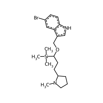 CN1CCCC1CCC(OCc1c[nH]c2ccc(Br)cc12)[Si](C)(C)C